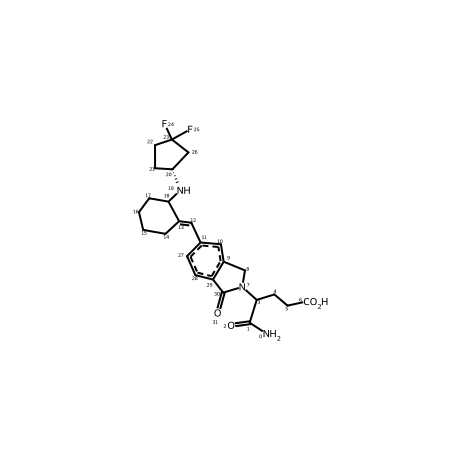 NC(=O)C(CCC(=O)O)N1Cc2cc(/C=C3\CCCCC3N[C@@H]3CCC(F)(F)C3)ccc2C1=O